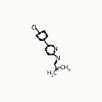 CN(C)/C=N/c1ccc(-c2ccc(Cl)cc2)cn1